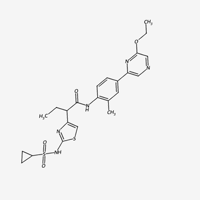 CCOc1cncc(-c2ccc(NC(=O)C(CC)c3csc(NS(=O)(=O)C4CC4)n3)c(C)c2)n1